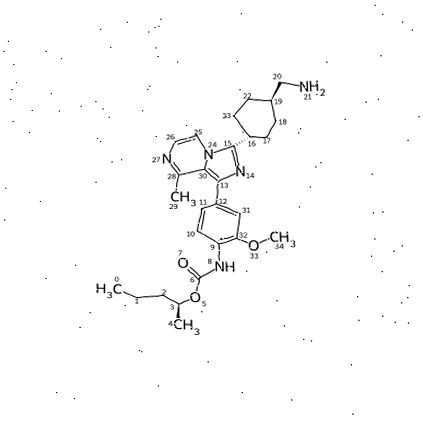 CCC[C@H](C)OC(=O)Nc1ccc(-c2nc([C@H]3CC[C@H](CN)CC3)n3ccnc(C)c23)cc1OC